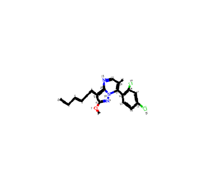 CCCCCc1c(OC)nn2c(-c3ccc(Cl)cc3Cl)c(C)cnc12